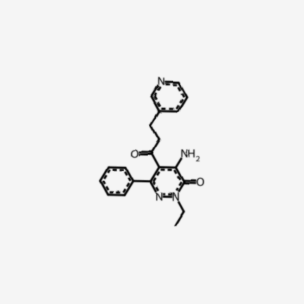 CCn1nc(-c2ccccc2)c(C(=O)CCc2cccnc2)c(N)c1=O